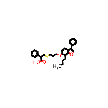 CCCCc1c(OCCCSCC(C(=O)O)c2ccccc2)ccc2c(-c3ccccc3)coc12